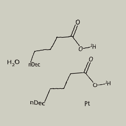 O.[2H]OC(=O)CCCCCCCCCCCCC.[2H]OC(=O)CCCCCCCCCCCCC.[Pt]